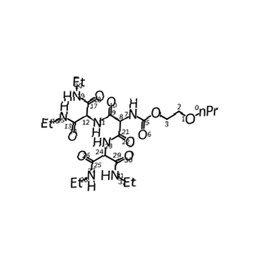 CCCOCCOC(=O)NC(C(=O)NC(C(=O)NCC)C(=O)NCC)C(=O)NC(C(=O)NCC)C(=O)NCC